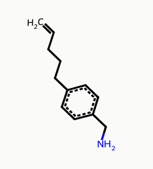 C=CCCCc1ccc(CN)cc1